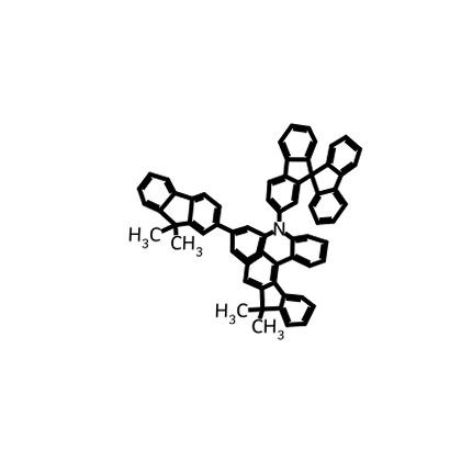 CC1(C)c2ccccc2-c2ccc(-c3cccc(N(c4ccc5c(c4)C4(c6ccccc6-c6ccccc64)c4ccccc4-5)c4ccccc4-c4cccc5c4-c4ccccc4C5(C)C)c3)cc21